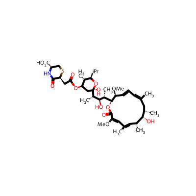 CO/C1=C\C(C)=C\[C@@H](C)[C@@H](O)[C@@H](C)C/C(C)=C/C=C/[C@H](OC)[C@@H]([C@@H](C)[C@@H](O)[C@H](C)[C@@]2(O)C[C@@H](OC(=O)C[C@@H]3SC[C@@H](C(=O)O)NC3=O)[C@H](C)[C@@H](C(C)C)O2)OC1=O